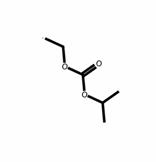 [CH2]COC(=O)OC(C)C